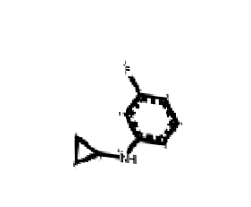 Fc1cccc(NC2CC2)c1